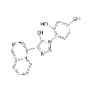 Oc1ccc(-n2nnc(-c3cccc4ccccc34)c2S)c(O)c1